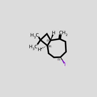 C=C1CC[C@@H](I)CC[C@@H]2[C@@H]1CC2(C)C